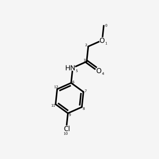 COCC(=O)Nc1ccc(Cl)cc1